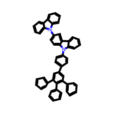 c1ccc(-c2cc(-c3ccc(-n4c5ccccc5c5cc(-n6c7ccccc7c7ccccc76)ccc54)cc3)cc(-c3ccccc3)c2-c2ccccc2)cc1